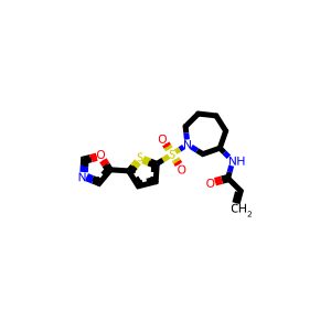 C=CC(=O)NC1CCCCN(S(=O)(=O)c2ccc(-c3cnco3)s2)C1